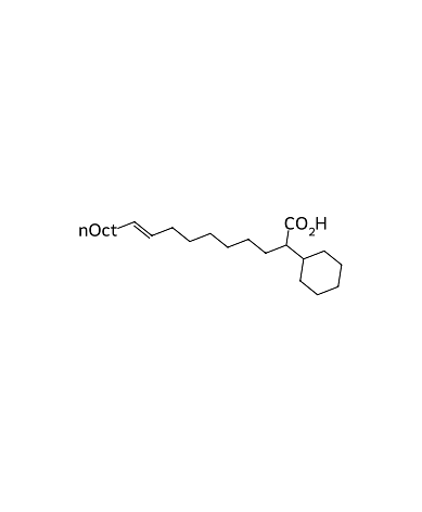 CCCCCCCCC=CCCCCCCC(C(=O)O)C1CCCCC1